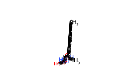 C=C=C=C=C=C=C=C=C=C=C=C=C=C=C=C=C=C=C=C=C=C=C=C=C=C=C=C=C=C=C=C=C=C=C=C(NC(=O)c1ccc(C)cc1)NC(=O)c1cccc(C(=O)NCNC(=O)c2ccc(O)cc2)c1